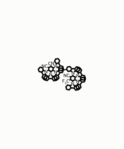 N#Cc1c(C#N)c(-n2c3ccccc3c3ccccc32)c(-n2c3ccccc3c3cc(-c4ccc5c6ccccc6n(-c6c(C#N)c(C(F)(F)F)c(-n7c8ccccc8c8ccccc87)c(-n7c8ccccc8c8ccccc87)c6-n6c7ccccc7c7ccccc76)c5c4)ccc32)c(-n2c3ccccc3c3ccccc32)c1-n1c2ccccc2c2ccccc21